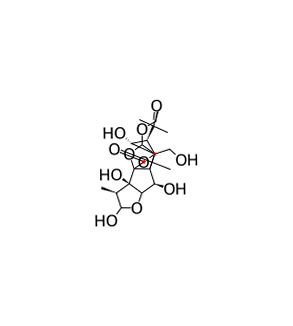 C[C@@H]1C(O)OC2[C@H](O)C34C5OC(=O)C3(OC(OC=O)C4(CO)[C@H](C(C)(C)C)[C@H]5O)[C@]21O